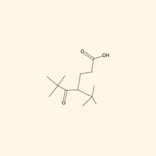 CC(C)(C)C(=O)C(CCC(=O)O)C(C)(C)C